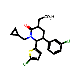 O=C(O)CC1CC(c2cccc(Cl)c2)C(c2ccc(Cl)s2)N(CC2CC2)C1=O